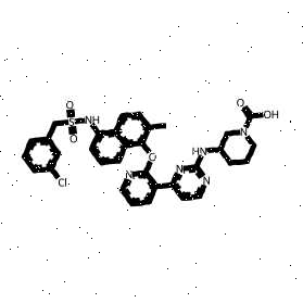 Cc1ccc2c(NS(=O)(=O)Cc3cccc(Cl)c3)cccc2c1Oc1ncccc1-c1ccnc(NC2CCCN(C(=O)O)C2)n1